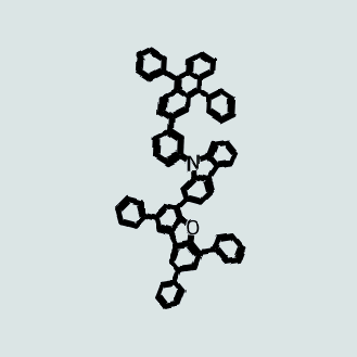 c1ccc(-c2cc(-c3ccccc3)c3oc4c(-c5ccc6c7ccccc7n(-c7cccc(-c8ccc9c(-c%10ccccc%10)c%10ccccc%10c(-c%10ccccc%10)c9c8)c7)c6c5)cc(-c5ccccc5)cc4c3c2)cc1